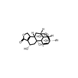 CC(C)[C@]12C=C[C@]3(O)[C@@](O)([C@H](C[C@H]4C5=C(C(=O)OC5)[C@@H](O)C[C@@]43C)O1)[C@@H]2O